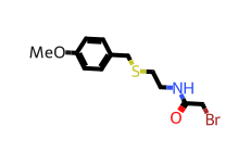 COc1ccc(CSCCNC(=O)CBr)cc1